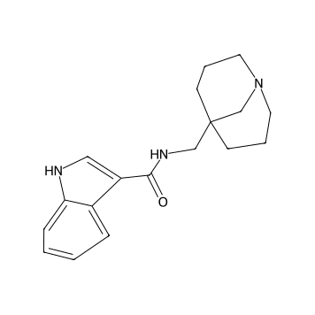 O=C(NCC12CCCN(CCC1)C2)c1c[nH]c2ccccc12